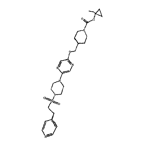 CC1(OC(=O)N2CCC(COc3cnc(N4CCN(S(=O)(=O)CCc5ccncc5)CC4)cn3)CC2)CC1